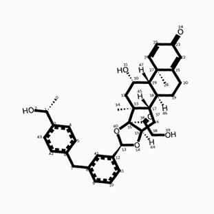 C[C@@H](O)c1ccc(Cc2cccc([C@@H]3O[C@@H]4C[C@H]5[C@@H]6CCC7=CC(=O)C=C[C@]7(C)[C@H]6[C@@H](O)C[C@]5(C)[C@]4(C(=O)CO)O3)c2)cc1